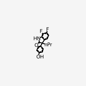 CCCC1(c2ccc(O)cc2)C(=O)Nc2c1ccc(F)c2F